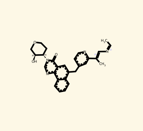 C/C=N\C=C(/C)c1cc(Cc2cc3c(=O)n([C@H]4CCOC[C@@H]4O)cnc3c3ccccc23)ccn1